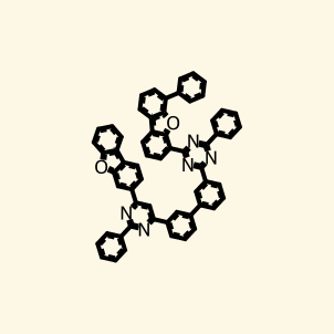 c1ccc(-c2nc(-c3cccc(-c4cccc(-c5nc(-c6ccccc6)nc(-c6cccc7c6oc6c(-c8ccccc8)cccc67)n5)c4)c3)cc(-c3ccc4c(c3)oc3ccccc34)n2)cc1